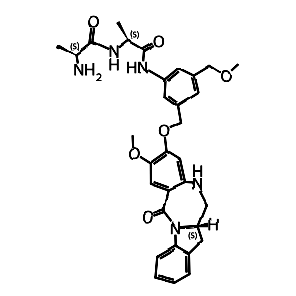 COCc1cc(COc2cc3c(cc2OC)C(=O)N2c4ccccc4C[C@H]2CN3)cc(NC(=O)[C@H](C)NC(=O)[C@H](C)N)c1